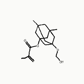 C=C(C)C(=O)OC12CC3(C)CC(C)(CC(OCO)(C3)C1)C2